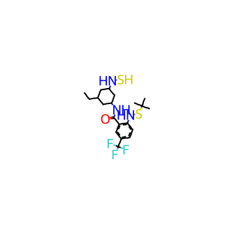 CCC1CC(NS)CC(NC(=O)c2cc(C(F)(F)F)ccc2NSC(C)(C)C)C1